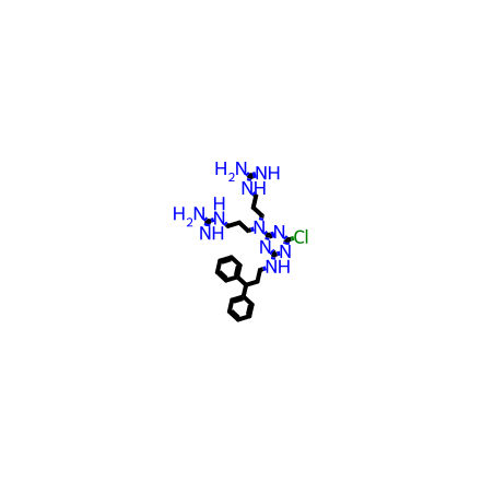 N=C(N)NCCCN(CCCNC(=N)N)c1nc(Cl)nc(NCCC(c2ccccc2)c2ccccc2)n1